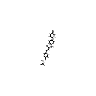 O=C(C=Cc1ccc(CNC2CC2)cc1)Nc1ccc(-c2ccc(Cl)cc2)cc1